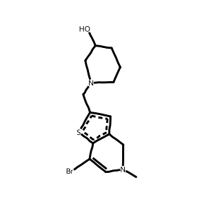 CN1C=C(Br)c2sc(CN3CCCC(O)C3)cc2C1